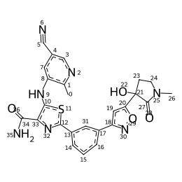 Cc1ncc(C#N)cc1Nc1sc(-c2cccc(-c3cc(C4(O)CCN(C)C4=O)on3)c2)nc1C(N)=O